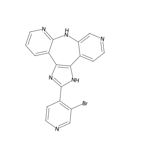 Brc1cnccc1-c1nc2c([nH]1)-c1ccncc1Nc1ncccc1-2